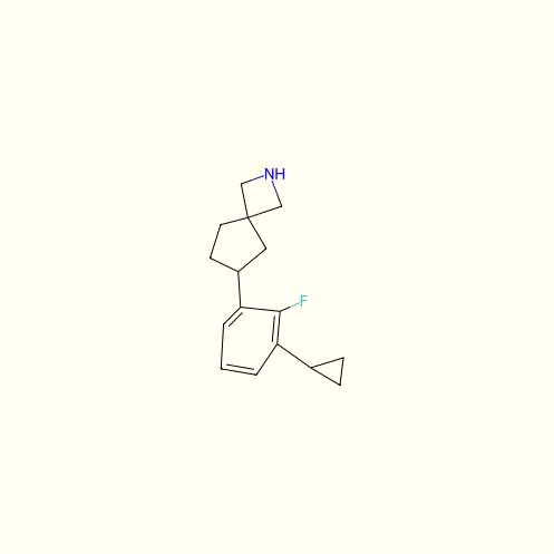 Fc1c(C2CC2)cccc1C1CCC2(CNC2)C1